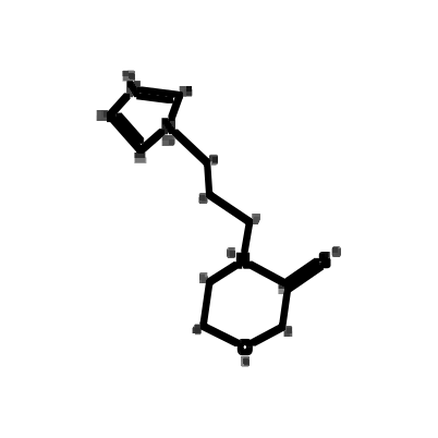 S=C1COCCN1CCCn1c[c]nc1